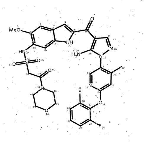 COc1cc2cc(C(=O)c3cnn(-c4cnc(Oc5c(F)cccc5F)cc4C)c3N)[nH]c2cc1NS(=O)(=O)CC(=O)N1CCOCC1